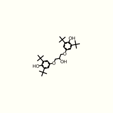 CC(C)(C)c1cc(OCC(O)COc2cc(C(C)(C)C)c(O)c(C(C)(C)C)c2)cc(C(C)(C)C)c1O